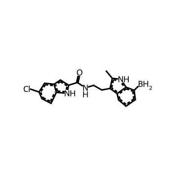 Bc1cccc2c(CCNC(=O)c3cc4cc(Cl)ccc4[nH]3)c(C)[nH]c12